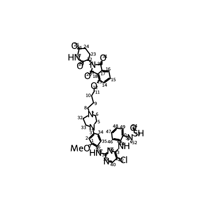 COc1cc(N2CCN(CCCCOc3cccc4c3C(=O)N(C3CCC(=O)NC3=O)C4=O)CC2)ccc1Nc1ncc(Cl)c(Nc2ccccc2N(C)[SH]=O)n1